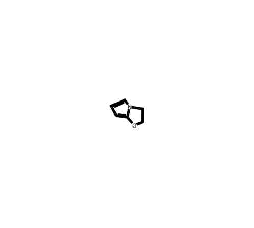 c1cc2n(c1)CCO2